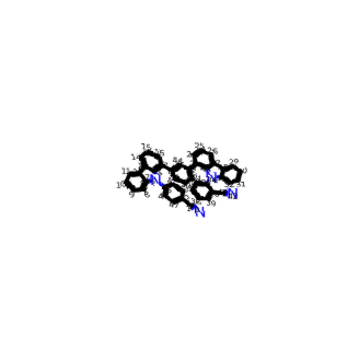 N#Cc1ccc(-n2c3ccccc3c3cccc(-c4cccc(-c5cccc6c7ccccc7n(-c7ccccc7C#N)c56)c4)c32)cc1